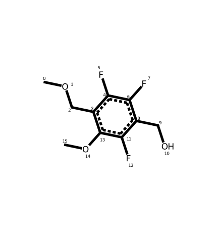 COCc1c(F)c(F)c(CO)c(F)c1OC